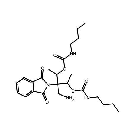 CCCCNC(=O)OC(C)C(CN)(C(C)OC(=O)NCCCC)N1C(=O)c2ccccc2C1=O